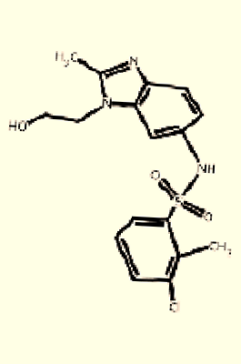 Cc1c(Cl)cccc1S(=O)(=O)Nc1ccc2nc(C)n(CCO)c2c1